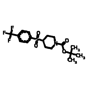 CC(C)(C)OC(=O)N1CCC(S(=O)(=O)c2ccc(C(F)(F)F)cc2)CC1